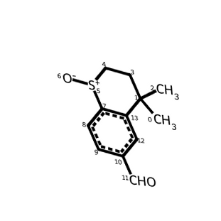 CC1(C)CC[S+]([O-])c2ccc(C=O)cc21